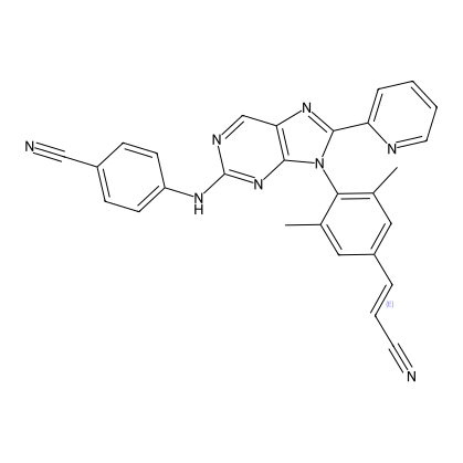 Cc1cc(/C=C/C#N)cc(C)c1-n1c(-c2ccccn2)nc2cnc(Nc3ccc(C#N)cc3)nc21